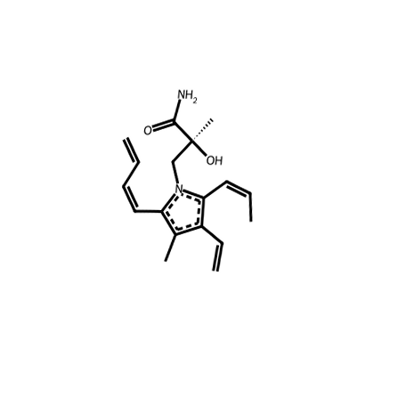 C=C/C=C\c1c(C)c(C=C)c(/C=C\C)n1C[C@](C)(O)C(N)=O